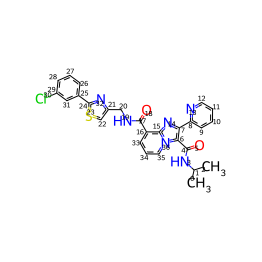 CC(C)NC(=O)c1c(-c2ccccn2)nc2c(C(=O)NCc3csc(-c4cccc(Cl)c4)n3)cccn12